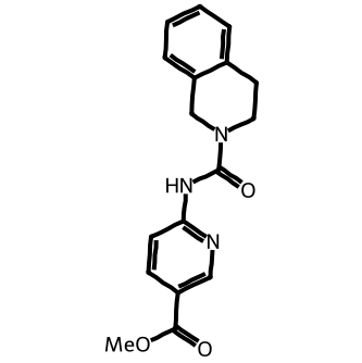 COC(=O)c1ccc(NC(=O)N2CCc3ccccc3C2)nc1